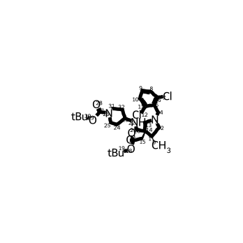 C[C@H]1CN(Cc2c(Cl)cccc2Cl)C[C@@]1(CC(=O)OC(C)(C)C)C(=O)NC1CCN(C(=O)OC(C)(C)C)CC1